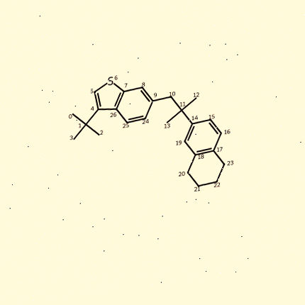 CC(C)(C)c1csc2cc(CC(C)(C)c3ccc4c(c3)CCCC4)ccc12